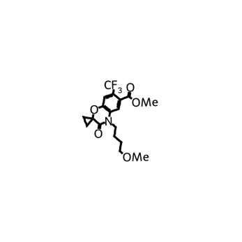 COCCCCN1C(=O)C2(CC2)Oc2cc(C(F)(F)F)c(C(=O)OC)cc21